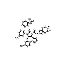 Cc1c(-c2ccnn2-c2ccc(C#N)cc2)n(C(=O)NC2CC3(CC[N+](C)(C)CC3)C2)c(=O)n1-c1cccc(C(F)(F)F)c1.O=S(=O)([O-])c1ccccc1